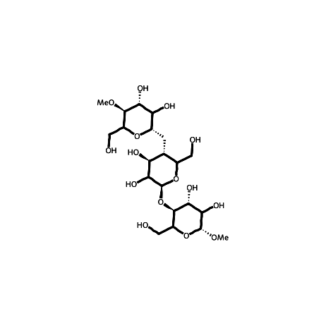 CO[C@@H]1OC(CO)[C@@H](O[C@@H]2OC(CO)[C@@H](C[C@@H]3OC(CO)[C@@H](OC)[C@H](O)C3O)[C@H](O)C2O)[C@H](O)C1O